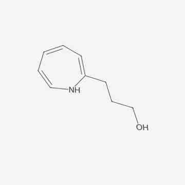 OCCCC1=CC=CC=CN1